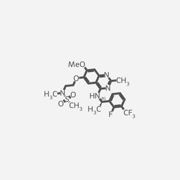 COc1cc2nc(C)nc(N[C@H](C)c3cccc(C(F)(F)F)c3F)c2cc1OCCN(C)S(C)(=O)=O